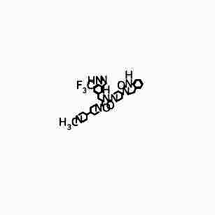 CN1CCC(C2CCN(C(=O)C(Cc3cc(C(F)(F)F)c4[nH]ncc4c3)NC(=O)N3CCC(N4CCc5ccccc5NC4=O)CC3)CC2)CC1